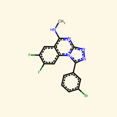 CNc1nc2nnc(-c3cccc(Br)c3)n2c2cc(F)c(F)cc12